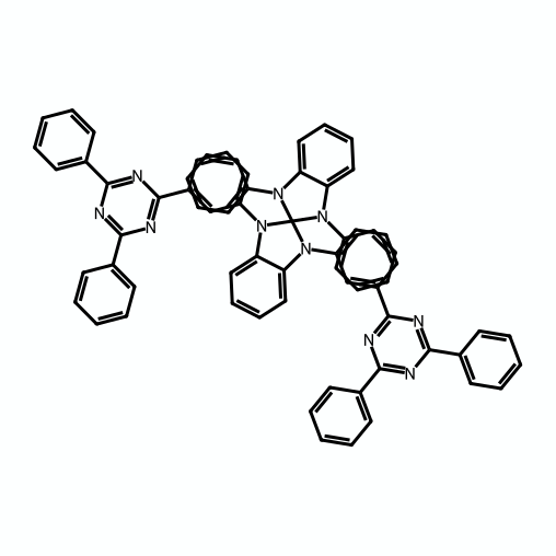 c1ccc(-c2nc(-c3ccccc3)nc(-c3cccc(N4c5ccccc5N(c5cccc(-c6nc(-c7ccccc7)nc(-c7ccccc7)n6)c5)C45N(c4ccccc4)c4ccccc4N5c4ccccc4)c3)n2)cc1